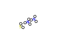 c1ccc(N(c2ccccc2)c2cccc(-c3ccccc3N(c3ccccc3)c3ccc(-c4cccc5sc6ccccc6c45)cc3)c2)cc1